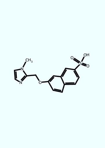 Cn1ccnc1COc1ccc2ccc(S(=O)(=O)O)cc2c1